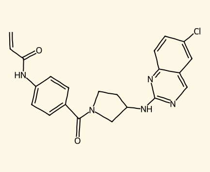 C=CC(=O)Nc1ccc(C(=O)N2CCC(Nc3ncc4cc(Cl)ccc4n3)C2)cc1